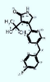 CC(C)(O)C1=C(c2ccc(Cc3ccc(F)cc3)cn2)CNC1=O